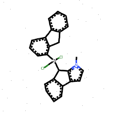 Cn1ccc2c1[CH]([Zr]([Cl])([Cl])[c]1cccc3c1Cc1ccccc1-3)c1ccccc1-2